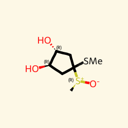 CSC1([S@+](C)[O-])C[C@@H](O)[C@H](O)C1